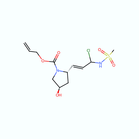 C=CCOC(=O)N1C[C@H](O)C[C@H]1C=CC(Cl)NS(C)(=O)=O